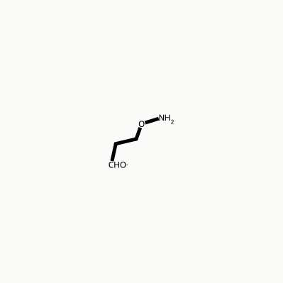 NOCC[C]=O